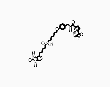 O=C(CCCCC1SCC2NC(=O)NC21)NCCCCCCOc1ccc(CNC(=O)c2ccc(C(=O)C(F)(F)F)s2)cc1